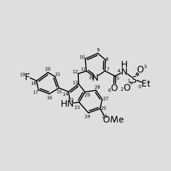 CCS(=O)(=O)NC(=O)c1cccc(Cc2c(-c3ccc(F)cc3)[nH]c3cc(OC)ccc23)n1